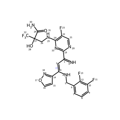 N=C(/C=C(\NCc1cccc(F)c1F)c1ccon1)c1ncc(F)c(NCC(O)(C(N)=O)C(F)(F)F)n1